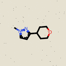 Cn1ccc(C2CCOCC2)n1